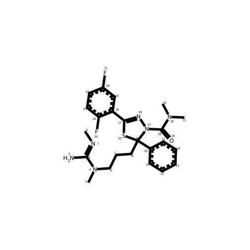 CN=C(N)N(C)CCCC1(c2ccccc2)SC(c2cc(F)ccc2F)=NN1C(=O)N(C)C